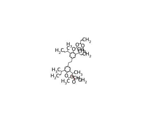 C=CC(=O)OC(C)Oc1c(C(C)C=C)cc(CCc2cc(C(C)C=C)c(OC(C)OC(=O)C=C)c(C(C)C=C)c2)cc1C(C)C=C